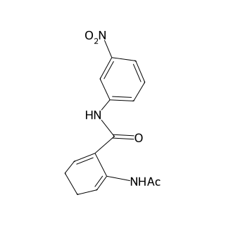 CC(=O)NC1=CCCC=C1C(=O)Nc1cccc([N+](=O)[O-])c1